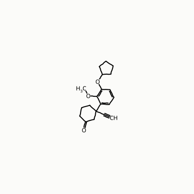 C#CC1(c2cccc(OC3CCCC3)c2OC)CCCC(=O)C1